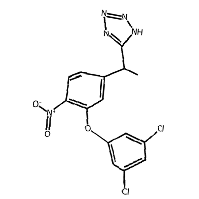 CC(c1ccc([N+](=O)[O-])c(Oc2cc(Cl)cc(Cl)c2)c1)c1nnn[nH]1